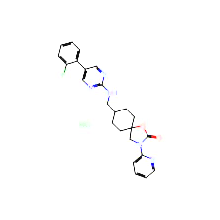 Cl.O=C1OC2(CCC(CNc3ncc(-c4ccccc4F)cn3)CC2)CN1c1ccccn1